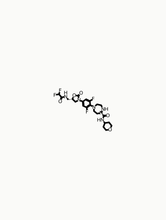 O=C(NC[C@H]1CN(c2cc(F)c(N3CCNN(C(=O)NC4CCOCC4)CC3)c(F)c2)C(=O)O1)C(F)F